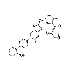 COC(=O)c1cc(Oc2nc3cc(-c4ccc(-c5ccccc5O)cc4)c(F)cc3n2COCC[Si](C)(C)C)ccc1C